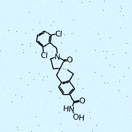 O=C(NO)c1ccc2c(c1)CC[C@@]1(CCN(Cc3c(Cl)cccc3Cl)C1=O)C2